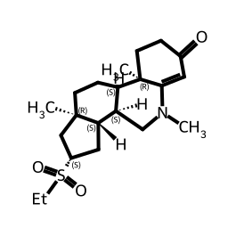 CCS(=O)(=O)[C@H]1C[C@H]2[C@@H]3CN(C)C4=CC(=O)CC[C@]4(C)[C@H]3CC[C@]2(C)C1